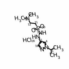 CC(C)n1cc(NNS(=O)(=O)CCN(C)C)cn1.Cl